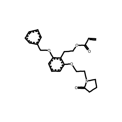 C=CC(=O)OCCc1c(OCCN2CCCC2=O)cccc1OCc1ccccc1